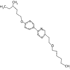 CCCCCCOCCc1ccc(-c2ccc(OCCCC(C)CC)cc2)nc1